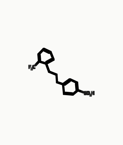 O=S(=O)(O)c1ccc(CCCc2ccccc2C(F)(F)F)cc1